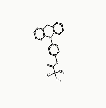 CC(C)(C)C(=O)Oc1ccc(N2c3ccccc3Cc3ccccc32)cc1